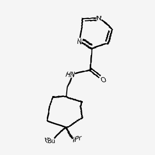 CC(C)C1(C(C)(C)C)CCC(NC(=O)c2ccncn2)CC1